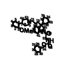 COc1ccccc1C1CCN(CCCC(CNC(=O)CNC(=O)OCc2ccccc2)(c2ccccc2)c2ccccc2)CC1